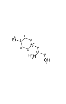 CCC1CCN(CC(N)CO)CC1